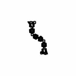 c1cc(-c2ccc(Oc3ccc(N(CC4CO4)CC4CO4)cc3)cc2)ccc1Oc1ccc(N(CC2CO2)CC2CO2)cc1